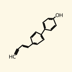 C#C/C=C/c1ccc(-c2ccc(O)cc2)cc1